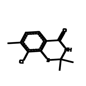 Cc1ccc2c(c1Cl)SC(C)(C)NC2=O